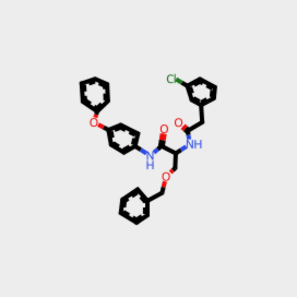 O=C(Cc1cccc(Cl)c1)NC(COCc1ccccc1)C(=O)Nc1ccc(Oc2ccccc2)cc1